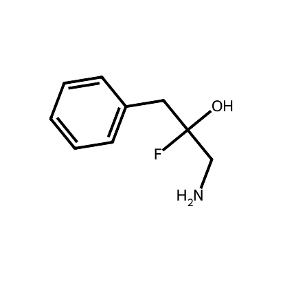 NCC(O)(F)Cc1ccccc1